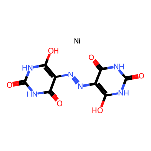 O=c1[nH]c(O)c(N=Nc2c(O)[nH]c(=O)[nH]c2=O)c(=O)[nH]1.[Ni]